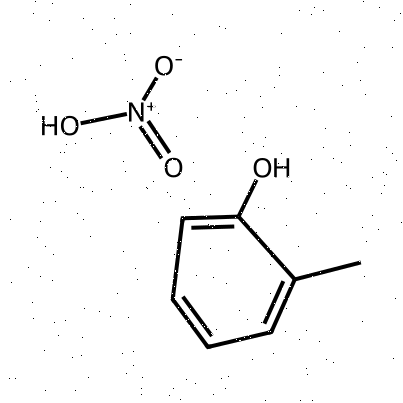 Cc1ccccc1O.O=[N+]([O-])O